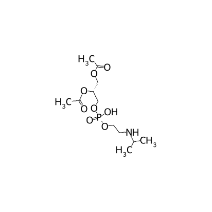 CC(=O)OC[C@H](COP(=O)(O)OCCNC(C)C)OC(C)=O